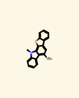 Cn1c2ccccc2c2c(C(C)(C)C)cc3c4ccccc4sc3c21